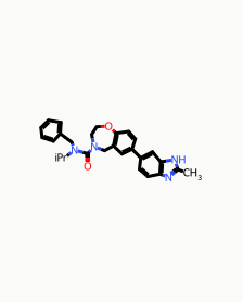 Cc1nc2ccc(-c3ccc4c(c3)CN(C(=O)N(Cc3ccccc3)C(C)C)CCO4)cc2[nH]1